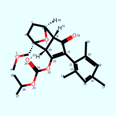 COC[C@]12CC[C@H](O1)[C@@H]1C(=O)C(c3c(C)cc(C)cc3C)=C(OC(=O)OC(C)C)[C@@H]12